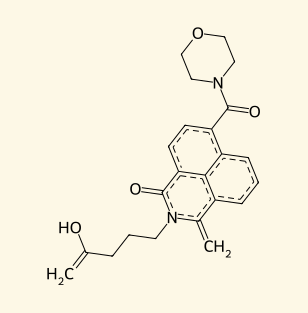 C=C(O)CCCn1c(=C)c2cccc3c(C(=O)N4CCOCC4)ccc(c1=O)c32